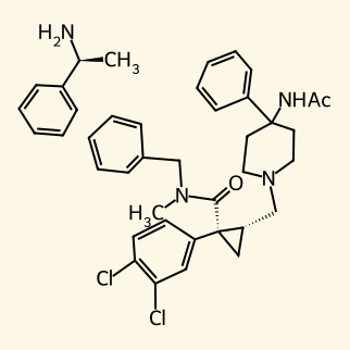 CC(=O)NC1(c2ccccc2)CCN(C[C@@H]2C[C@@]2(C(=O)N(C)Cc2ccccc2)c2ccc(Cl)c(Cl)c2)CC1.C[C@H](N)c1ccccc1